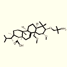 COC[C@]12C[C@@H](OC)[C@H](OCC(C)(C)N)C(C)(C)[C@@H]1CC[C@H]1C2=CC[C@@]2(C)[C@H](C(=O)O)[C@@](C)([C@H](C)C(C)C)CC[C@]12C